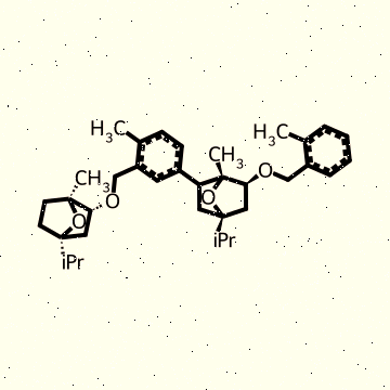 Cc1ccccc1CO[C@H]1C[C@]2(C(C)C)CC(c3ccc(C)c(CO[C@@H]4C[C@@]5(C(C)C)CC[C@]4(C)O5)c3)[C@@]1(C)O2